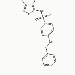 Cc1noc(NS(=O)(=O)c2ccc(NCc3ccccc3)cc2)c1C